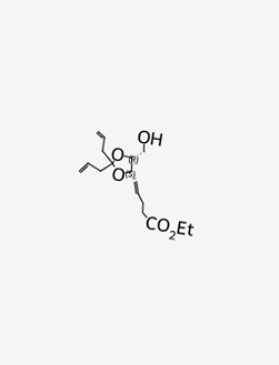 C=CCC1(CC=C)O[C@@H](C=CCCC(=O)OCC)[C@@H](CO)O1